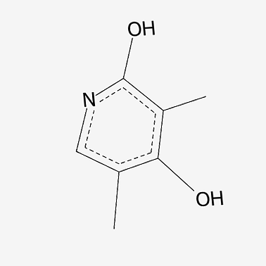 Cc1cnc(O)c(C)c1O